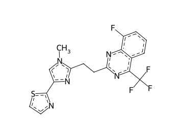 Cn1cc(-c2nccs2)nc1CCc1nc(C(F)(F)F)c2cccc(F)c2n1